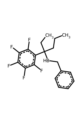 CCCC(BCc1ccccc1)(CC)c1c(F)c(F)c(F)c(F)c1F